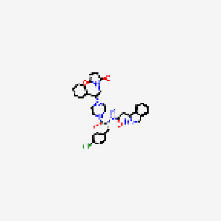 O=C(CC1NCc2ccccc21)N[C@H](Cc1ccc(Cl)cc1)C(=O)N1CCN(C(CN2C(=O)CCC2=O)C2CCCCC2)CC1